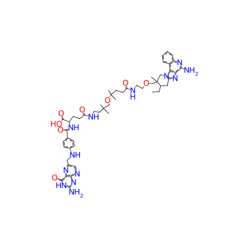 CCC1Cc2nc3c(N)nc4ccccc4c3n2CC1(C)COCCNC(=O)CCC(C)(C)OCC(C)(C)CCNC(=O)CCC(NC(=O)c1ccc(NCc2cnc3nc(N)[nH]c(=O)c3n2)cc1)C(=O)O